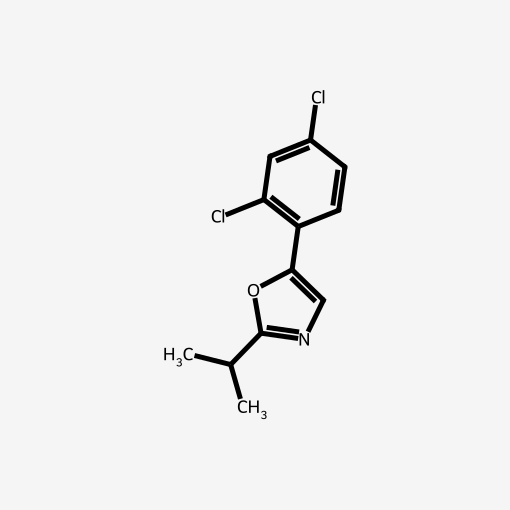 CC(C)c1ncc(-c2ccc(Cl)cc2Cl)o1